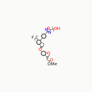 COC(=O)C[C@@H]1COc2cc(O[C@@H]3CCc4c3ccc(C(F)(F)F)c4-c3ccc(-c4noc(C(C)(C)O)n4)cc3)ccc21